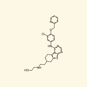 OCCNCCC1CCc2c(sc3ncnc(Nc4ccc(OCc5ccccn5)c(Cl)c4)c23)C1